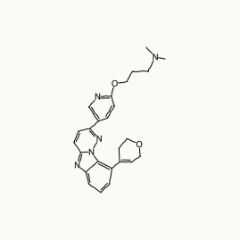 CN(C)CCCOc1ccc(-c2ccc3nc4cccc(C5=CCOCC5)c4n3n2)cn1